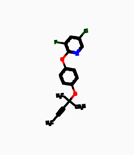 CC#CC(C)(Oc1ccc(Oc2ncc(Cl)cc2F)cc1)C(=O)O